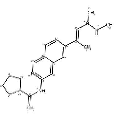 C=C(Nc1cc2cc(/C(C)=C/N(C)NC)ccc2cn1)C1CCCC1